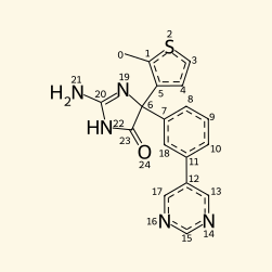 Cc1sccc1C1(c2cccc(-c3cncnc3)c2)N=C(N)NC1=O